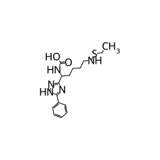 CCSNCCCCC(NC(=O)O)c1n[nH]c(-c2ccccc2)n1